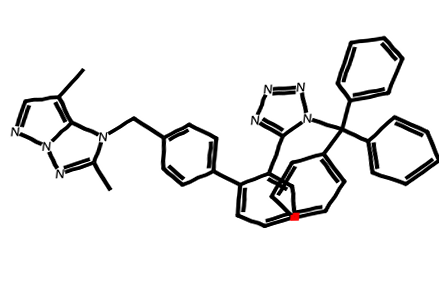 Cc1cnn2nc(C)n(Cc3ccc(-c4ccccc4-c4nnnn4C(c4ccccc4)(c4ccccc4)c4ccccc4)cc3)c12